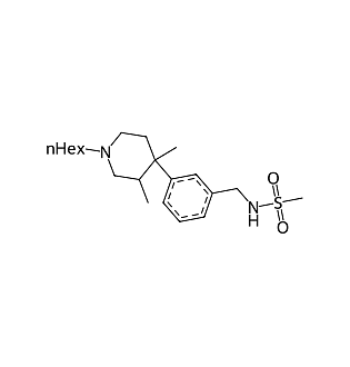 CCCCCCN1CCC(C)(c2cccc(CNS(C)(=O)=O)c2)C(C)C1